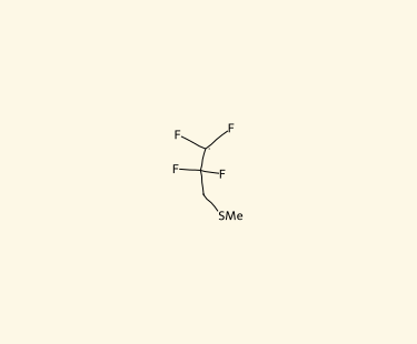 CSCC(F)(F)[C](F)F